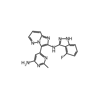 Cc1nc(N)cc(-c2c(Nc3n[nH]c4cccc(F)c34)nc3cccnn23)n1